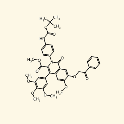 COC(=O)c1c(-c2cc(OC)c(OC)c(OC)c2)c2cc(OC)c(OCC(=O)c3ccccc3)cc2c(=O)n1-c1ccc(NC(=O)OC(C)(C)C)cc1